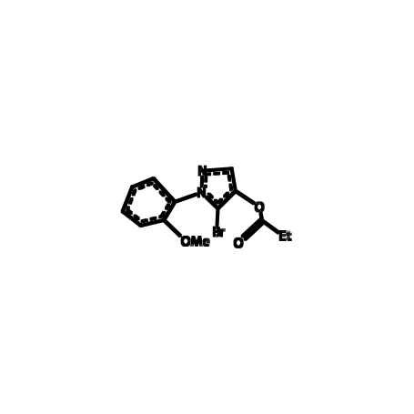 CCC(=O)Oc1cnn(-c2ccccc2OC)c1Br